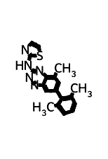 Cc1cccc(C)c1-c1cc(C)c2nc(Nc3nccs3)nnc2c1